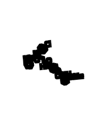 COc1ccccc1NC(=O)Cc1ccc(NC(=O)CCc2oc(-n3cnc4ccccc43)nc2-c2ccc(Cl)cc2)cc1